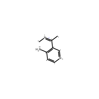 C/N=C(/C)c1cnccc1N